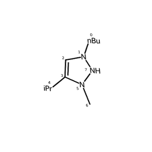 CCCCN1C=C(C(C)C)N(C)N1